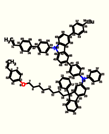 C=Cc1ccc(OCCCCCCCCC2(c3ccccc3)c3ccccc3-c3ccc(N(c4ccccc4)c4ccc(-c5ccc6c(c5)c5cc(-c7ccc(C(C)(C)C)cc7)ccc5n6-c5ccc(-c6ccc(C=C)cc6)cc5)cc4)cc32)cc1